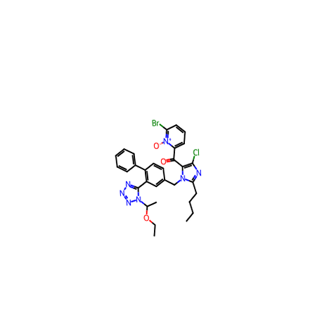 CCCCc1nc(Cl)c(C(=O)c2cccc(Br)[n+]2[O-])n1Cc1ccc(-c2ccccc2)c(-c2nnnn2C(C)OCC)c1